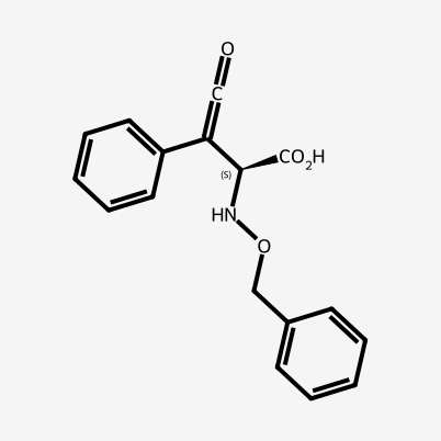 O=C=C(c1ccccc1)[C@H](NOCc1ccccc1)C(=O)O